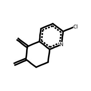 C=C1CCc2nc(Cl)ccc2C1=C